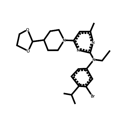 CCN(c1ccc(C(C)C)c(Br)c1)c1nc(C)cc(N2CCC(C3OCCO3)CC2)n1